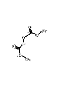 CCCCOC(=O)OOC(=O)OC(C)C